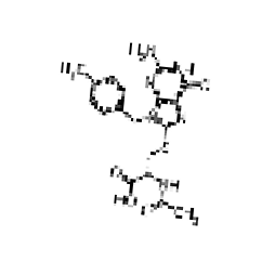 CC(=O)N[C@@H](CSc1nc2c(=O)[nH]c(N)nc2n1Cc1ccc(C)cc1)C(=O)O